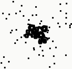 COC(=O)C(C)N(c1ccccc1OCc1ccccc1)S(=O)(=O)c1cccc([N+](=O)[O-])c1